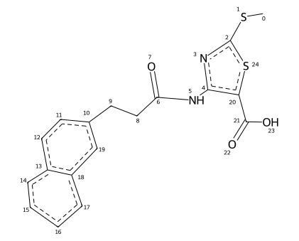 CSc1nc(NC(=O)CCc2ccc3ccccc3c2)c(C(=O)O)s1